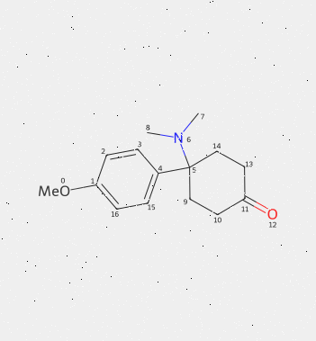 COc1ccc(C2(N(C)C)CCC(=O)CC2)cc1